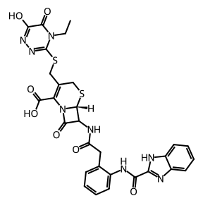 CCn1c(SCC2=C(C(=O)O)N3C(=O)C(NC(=O)Cc4ccccc4NC(=O)c4nc5ccccc5[nH]4)[C@H]3SC2)nnc(O)c1=O